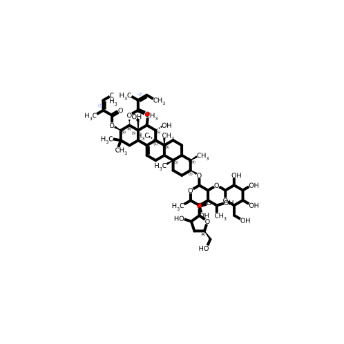 C/C=C(/C)C(=O)O[C@H]1[C@H](OC(=O)/C(C)=C\C)[C@@]2(CO)C(CC1(C)C)C1=CCC3[C@@]4(C)CC[C@H](OC(OC(C)C(=O)O)C(OC5OC(CO)C(O)C(O)C5O)C(OC5O[C@@H](CO)CC5O)C(C)O)[C@H](C)C4CC[C@@]3(C)[C@]1(C)[C@@H](O)C2C